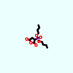 CCCCOP(=O)(OCCCC)C1CC(=O)OC1=O